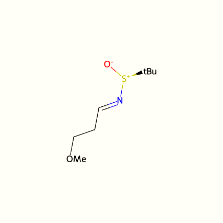 COCCC=N[S@@+]([O-])C(C)(C)C